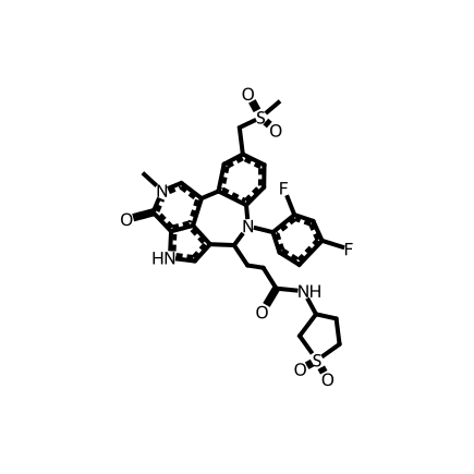 Cn1cc2c3c(c[nH]c3c1=O)C(CCC(=O)NC1CCS(=O)(=O)C1)N(c1ccc(F)cc1F)c1ccc(CS(C)(=O)=O)cc1-2